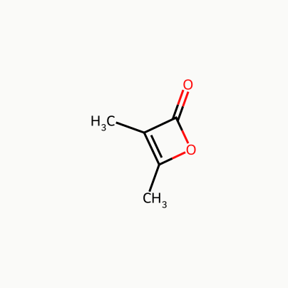 CC1=C(C)C(=O)O1